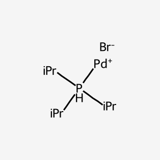 CC(C)[PH]([Pd+])(C(C)C)C(C)C.[Br-]